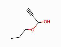 C#CC(O)OCCC